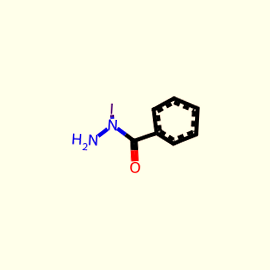 NN(I)C(=O)c1ccccc1